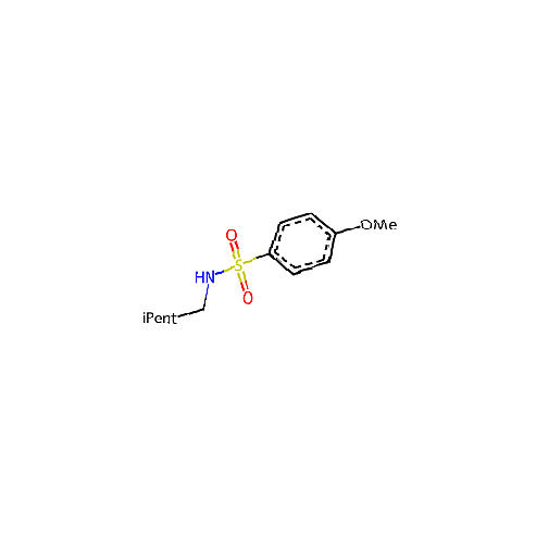 CCCC(C)CNS(=O)(=O)c1ccc(OC)cc1